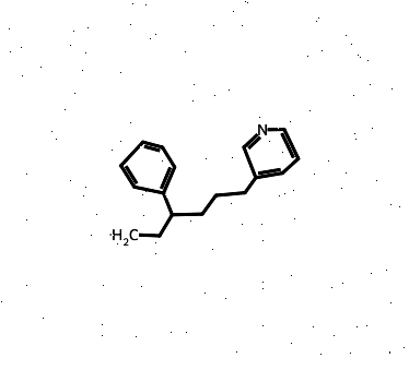 [CH2]CC(CCCc1cccnc1)c1ccccc1